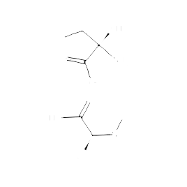 CN[C@@H](C)C(=O)O.C[C@](N)(CS)C(=O)O